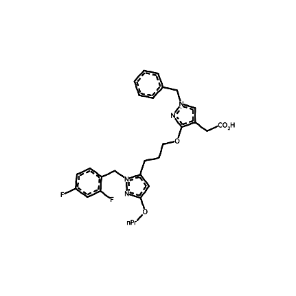 CCCOc1cc(CCCOc2nn(Cc3ccccc3)cc2CC(=O)O)n(Cc2ccc(F)cc2F)n1